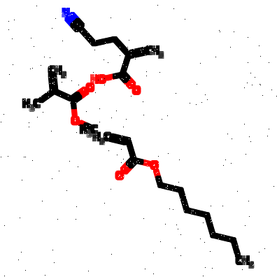 C=C(C)C(=O)OC.C=C(CCC#N)C(=O)O.C=CC(=O)OCCCCCCC